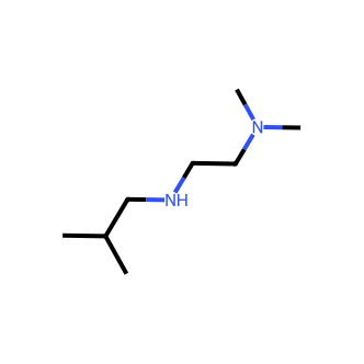 CC(C)CNCCN(C)C